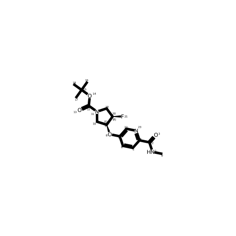 CNC(=O)c1ccc(O[C@H]2CN(C(=O)OC(C)(C)C)C[C@H]2F)cn1